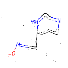 O/N=C/c1cnc[nH]1